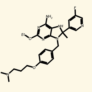 CCOc1nc(N)c2c(n1)N(Cc1ccc(OCCCN(C)C)cc1)C(C)(c1cncc(F)c1)N2